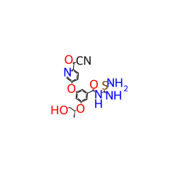 C[C@@H](CO)Oc1cc(Oc2ccc(C(=O)C#N)nc2)cc(C(=O)NC(=N)SN)c1